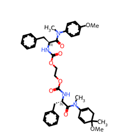 COc1ccc(N(C)C(=O)[C@H](Cc2ccccc2)NC(=O)OCCOC(=O)N[C@@H](Cc2ccccc2)C(=O)N(C)C2=CCC(C)(OC)C=C2)cc1